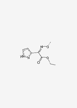 CCOC(=O)C(=NOC)c1cc[nH]n1